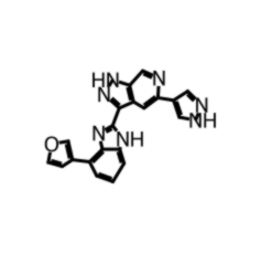 c1cc(-c2ccoc2)c2nc(-c3n[nH]c4cnc(-c5cn[nH]c5)cc34)[nH]c2c1